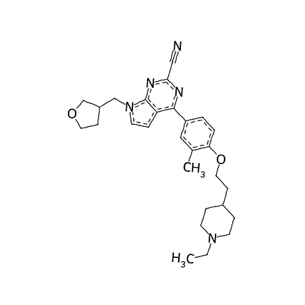 CCN1CCC(CCOc2ccc(-c3nc(C#N)nc4c3ccn4CC3CCOC3)cc2C)CC1